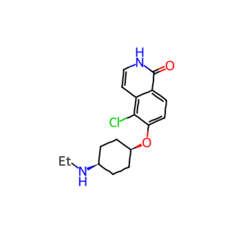 CCN[C@H]1CC[C@@H](Oc2ccc3c(=O)[nH]ccc3c2Cl)CC1